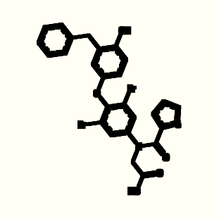 O=C(O)CN(C(=O)c1cccs1)c1cc(Br)c(Oc2ccc(O)c(Cc3ccccc3)c2)c(Br)c1